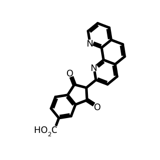 O=C(O)c1ccc2c(c1)C(=O)C(c1ccc3ccc4cccnc4c3n1)C2=O